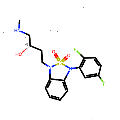 CNC[C@@H](O)CCN1c2ccccc2N(c2cc(F)ccc2F)S1(=O)=O